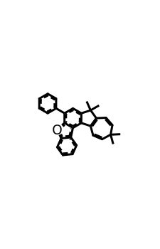 CC1(C)C=CC2=C(C=C1)C(C)(C)c1cc(-c3ccccc3)c3oc4ccccc4c3c12